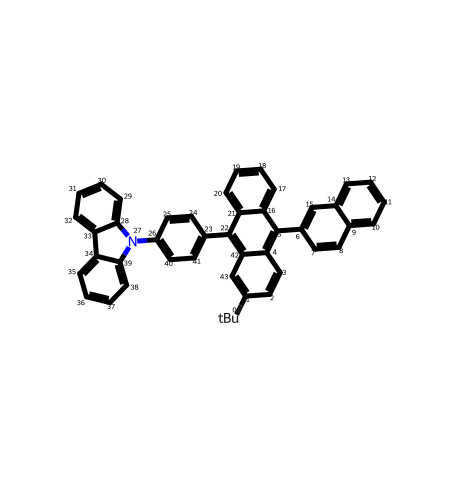 CC(C)(C)c1ccc2c(-c3ccc4ccccc4c3)c3ccccc3c(-c3ccc(-n4c5ccccc5c5ccccc54)cc3)c2c1